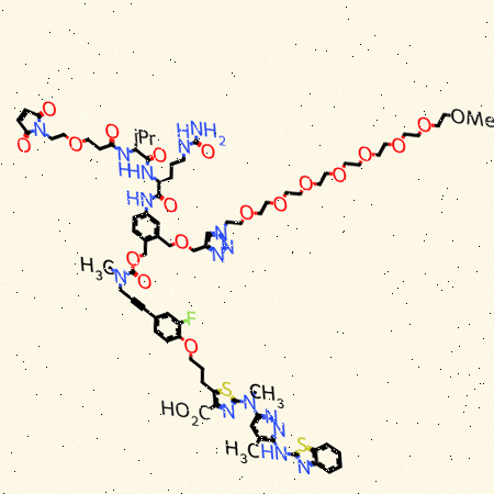 COCCOCCOCCOCCOCCOCCOCCOCCn1cc(COCc2cc(NC(=O)[C@H](CCCNC(N)=O)NC(=O)[C@@H](NC(=O)CCOCCN3C(=O)C=CC3=O)C(C)C)ccc2COC(=O)N(C)CC#Cc2ccc(OCCCc3sc(N(C)c4cc(C)c(Nc5nc6ccccc6s5)nn4)nc3C(=O)O)c(F)c2)nn1